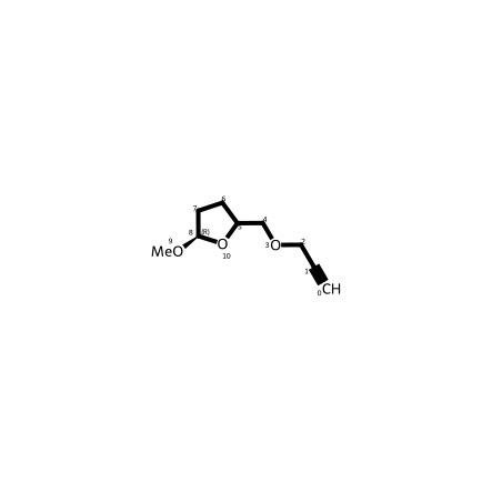 C#CCOCC1CC[C@H](OC)O1